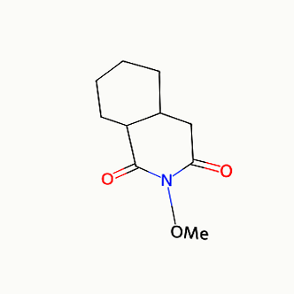 CON1C(=O)CC2CCCCC2C1=O